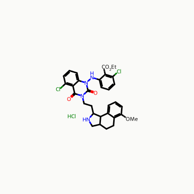 CCOC(=O)c1c(Cl)cccc1Nn1c(=O)n(CCC2NCC3CCc4c(OC)cccc4C32)c(=O)c2c(Cl)cccc21.Cl